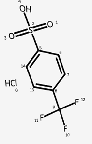 Cl.O=S(=O)(O)c1ccc(C(F)(F)F)cc1